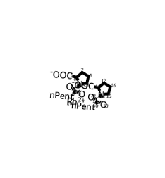 CCCCCS(=O)(=O)N1CCCC1C(=O)[O-].CCCCCS(=O)(=O)N1CCCC1C(=O)[O-].[Rh+2]